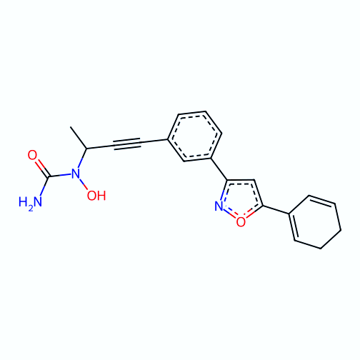 CC(C#Cc1cccc(-c2cc(C3=CCCC=C3)on2)c1)N(O)C(N)=O